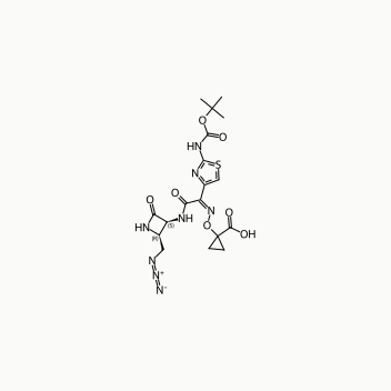 CC(C)(C)OC(=O)Nc1nc(C(=NOC2(C(=O)O)CC2)C(=O)N[C@@H]2C(=O)N[C@@H]2CN=[N+]=[N-])cs1